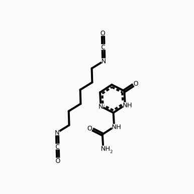 NC(=O)Nc1nccc(=O)[nH]1.O=C=NCCCCCCN=C=O